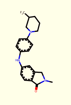 CN1Cc2cc(Nc3ccc(N4CCCC(C(F)(F)F)C4)cc3)ccc2C1=O